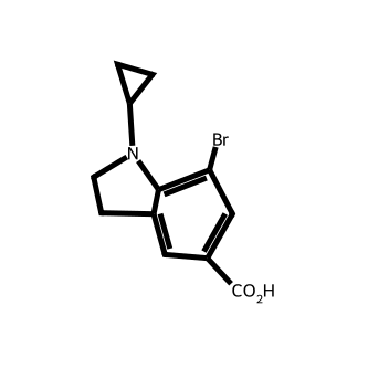 O=C(O)c1cc(Br)c2c(c1)CCN2C1CC1